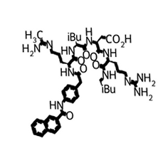 CC[C@H](C)CNC(=O)[C@H](CCCN=C(N)N)NC(=O)[C@H](CC(=O)O)NC(=O)[C@@H](NC(=O)[C@H](CCCN=C(C)N)NC(=O)Cc1ccc(NC(=O)c2ccc3ccccc3c2)cc1)[C@@H](C)CC